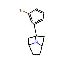 CN1C2CCC1CC(c1cccc(Br)c1)C2